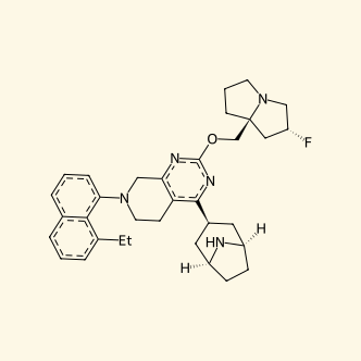 CCc1cccc2cccc(N3CCc4c(nc(OC[C@@]56CCCN5C[C@H](F)C6)nc4[C@H]4C[C@H]5CC[C@@H](C4)N5)C3)c12